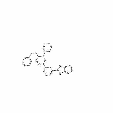 c1ccc(-c2nc(-c3cccc(-c4nc5ccccc5o4)c3)nc3c2ccc2ccccc23)cc1